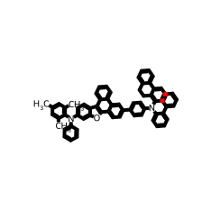 Cc1cc(C)c(N(c2ccccc2)c2ccc3c(c2)oc2c4ccc(-c5ccc(N(c6ccccc6-c6ccccc6)c6cccc7c6CCc6ccccc6-7)cc5)cc4c4ccccc4c32)c(C)c1